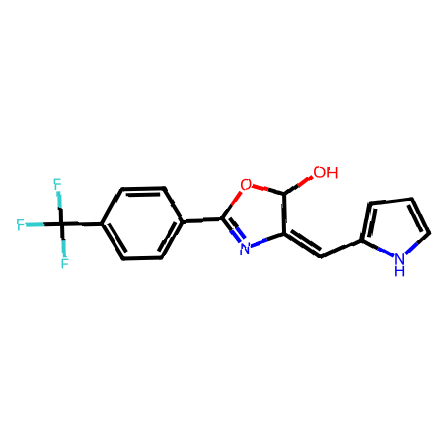 OC1OC(c2ccc(C(F)(F)F)cc2)=N/C1=C/c1ccc[nH]1